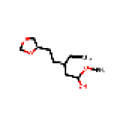 BOC(O)CC(C=C)CCC1COCO1